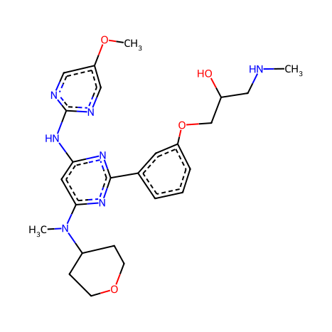 CNCC(O)COc1cccc(-c2nc(Nc3ncc(OC)cn3)cc(N(C)C3CCOCC3)n2)c1